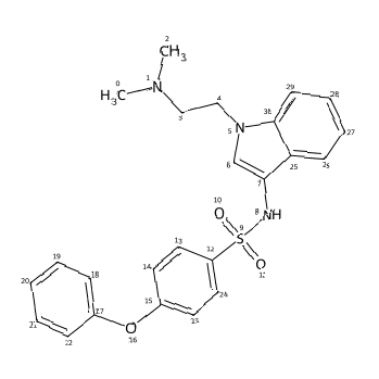 CN(C)CCn1cc(NS(=O)(=O)c2ccc(Oc3ccccc3)cc2)c2ccccc21